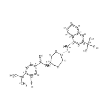 CN(C)c1ccc(C(=O)N[C@H]2CC[C@@H](CNc3cc(C(F)(F)F)nc4ccccc34)CC2)cc1F